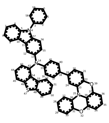 c1ccc(-n2c3ccccc3c3cc(N(c4ccc(-c5ccc6c(c5)N5c7ccccc7Oc7cccc(c75)O6)cc4)c4cccc5sc6ccccc6c45)ccc32)cc1